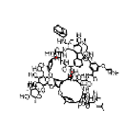 CNCCOCc1cc(OCCNC)cc(C(=O)NC(=O)C[C@@H]2NC(=O)[C@H](NC(=O)[C@@H](CC(C)C)NC)[C@H](O)c3ccc(c(C)c3)Oc3cc4cc(c3O[C@@H]3O[C@H](CO)[C@@H](O)[C@H](O)[C@H]3O[C@H]3C[C@](C)(N)[C@H](O)[C@H](C)O3)Oc3ccc(cc3Cl)[C@@H](O)[C@@H]3NC(=O)[C@H](NC(=O)[C@@H]4NC2=O)c2ccc4c(c2)-c2c(cc(O)cc2C4(O)O)[C@@H](C(=O)NC2C4CC5CC(C4)CC2C5)NC3=O)c1